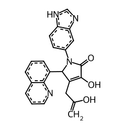 C=C(O)CC1=C(O)C(=O)N(c2ccc3[nH]cnc3c2)C1c1cccc2cccnc12